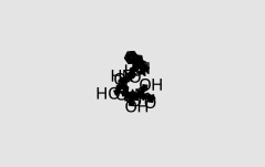 CNN(C)Cc1cc2ccccc2n1CCC(=O)NCC(=O)N(CCO)CC(=O)N(CCO)CC(=O)N(CCO)CCC(C)=O